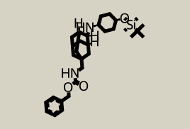 CC(C)(C)[Si](C)(C)O[C@H]1CC[C@@H](N[C@H]2[C@@H]3CC4C[C@H]2CC(CNC(=O)OCc2ccccc2)(C4)C3)CC1